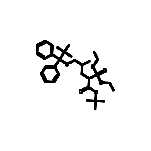 CCOP(=O)(OCC)C(CC(C)CO[Si](c1ccccc1)(c1ccccc1)C(C)(C)C)C(=O)OC(C)(C)C